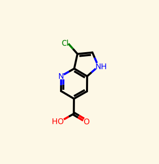 O=C(O)c1cnc2c(Cl)c[nH]c2c1